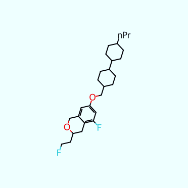 CCCC1CCC(C2CCC(COc3cc(F)c4c(c3)COC(CCF)C4)CC2)CC1